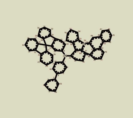 c1ccc(-c2ccc(N(c3ccc4c(c3)C3(c5ccccc5-c5ccccc53)c3ccccc3-4)c3ccc4c5cccc6c7ccccc7cc(c65)n5c6ccccc6c3c45)cc2)cc1